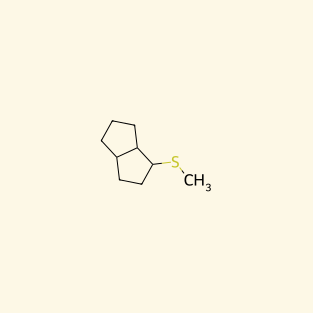 CSC1CCC2CCCC21